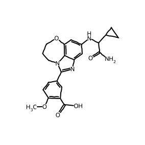 COc1ccc(-c2nc3cc(NC(C(N)=O)C4CC4)cc4c3n2CCCO4)cc1C(=O)O